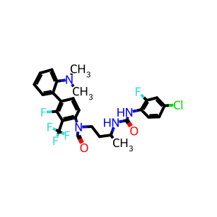 CC(CCN(C=O)c1ccc(-c2ccccc2N(C)C)c(F)c1C(F)(F)F)NC(=O)Nc1ccc(Cl)cc1F